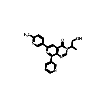 CC(CO)n1cnc2c(-c3cccnc3)nc(-c3ccc(C(F)(F)F)nc3)cc2c1=O